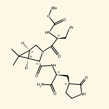 CC(C)C[C@H](NC(=O)OC(C)(C)C)C(=O)N1C[C@H]2[C@@H]([C@H]1C(=O)N[C@@H](C[C@@H]1CCNC1=O)C(N)=O)C2(C)C